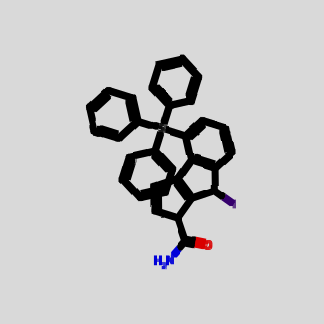 NC(=O)C1C=CC2=C1C(I)c1cccc([Si](c3ccccc3)(c3ccccc3)c3ccccc3)c12